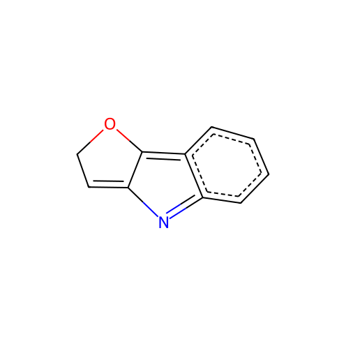 C1=C2N=c3ccccc3=C2OC1